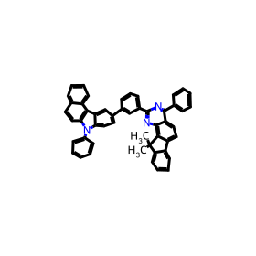 CC1(C)c2ccccc2-c2ccc3c(-c4ccccc4)nc(-c4cccc(-c5ccc6c(c5)c5c7ccccc7ccc5n6-c5ccccc5)c4)nc3c21